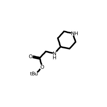 CC(C)(C)OC(=O)CNC1CCNCC1